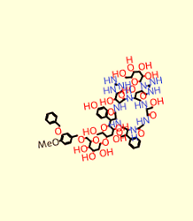 COc1ccc(COCC2OC(OC3C(CO)OC(C(c4ccc(O)cc4)C4NC(=O)C(C(C)c5ccccc5)NC(=O)CNC(=O)C(CO)NC(=O)C(C(O)C5CNC(=N)N5C5OC(CO)C(O)C(O)C5O)NC(=O)C(C(O)C5CNC(=N)N5)NC4=O)C(O)C3O)C(O)C(O)C2O)cc1OCc1ccccc1